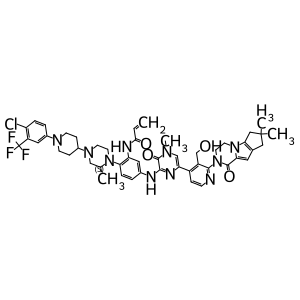 C=CC(=O)Nc1cc(Nc2nc(-c3ccnc(N4CCn5c(cc6c5CC(C)(C)C6)C4=O)c3CO)cn(C)c2=O)ccc1N1CCN(C2CCN(c3ccc(Cl)c(C(F)(F)F)c3)CC2)C[C@@H]1C